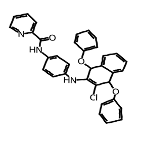 O=C(Nc1ccc(NC2=C(Cl)C(Oc3ccccc3)c3ccccc3C2Oc2ccccc2)cc1)c1ccccn1